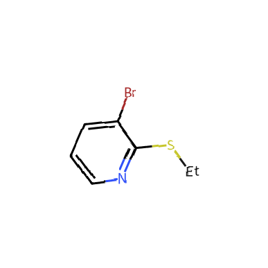 CCSc1ncccc1Br